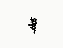 CCCCCc1cc2c(c(O)c1C(C)=O)[C@@H](C)[C@H]1C(C(C)C)CC[C@@]1(C)O2